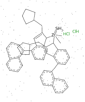 Cl.Cl.[CH3][Zr]([CH3])(=[SiH2])([CH]1C(CC2CCCC2)=Cc2c(-c3cccc4ccccc34)cccc21)[CH]1C(CC2CCCC2)=Cc2c(-c3cccc4ccccc34)cccc21